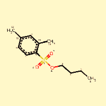 CCCCOS(=O)(=O)c1ccc(C)cc1C